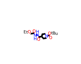 CCOCC(=O)NNC(=O)C1CCN(C(=O)OC(C)(C)C)CC1